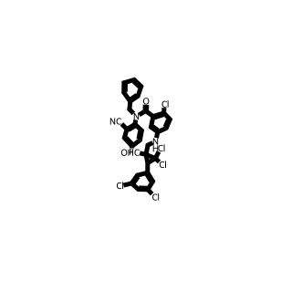 N#Cc1cc(F)ccc1N(Cc1ccccc1)C(=O)c1cc(NCC2(C=O)C(c3cc(Cl)cc(Cl)c3)C2(Cl)Cl)ccc1Cl